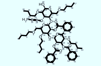 CCCCOCC1O[C@@H](O[C@@H]2C(COCCCC)O[C@H](O)C(OCCCC)[C@H]2OB=BP)[C@@H](OC(=O)c2ccccc2)C(O[C@@H]2OC(C)[C@H](OCCCC)C(OC(=O)c3ccccc3)[C@@H]2OC(=O)c2ccccc2)[C@@H]1OCCCC